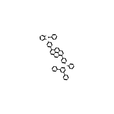 c1ccc(-c2cc(-c3ccccc3)cc(N(c3ccccc3)c3ccc(-c4ccc5ccc6c(-c7ccc(-n8c(-c9ccccc9)nc9ccccc98)cc7)ccc7ccc4c5c76)cc3)c2)cc1